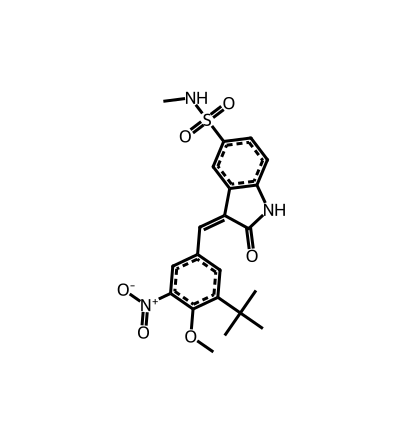 CNS(=O)(=O)c1ccc2c(c1)C(=Cc1cc([N+](=O)[O-])c(OC)c(C(C)(C)C)c1)C(=O)N2